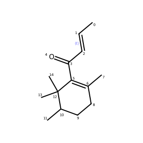 C/C=C/C(=O)C1=C(C)CCC(C)C1(C)C